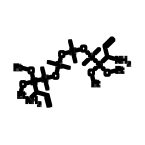 C=CC(N)[Si](OCC)(OCC)[Si](C)(C)O[Si](C)(C)O[Si](C)(C)O[Si](C)(C)[Si](OCC)(OCC)C(N)C=C